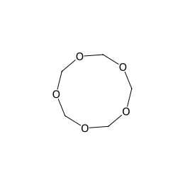 C1OCOCOCOCO1